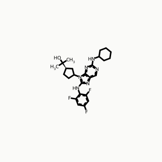 CC(C)(O)[C@@H]1CCC(n2c(Nc3c(F)cc(F)cc3F)nc3cnc(NC4CCCCC4)nc32)C1